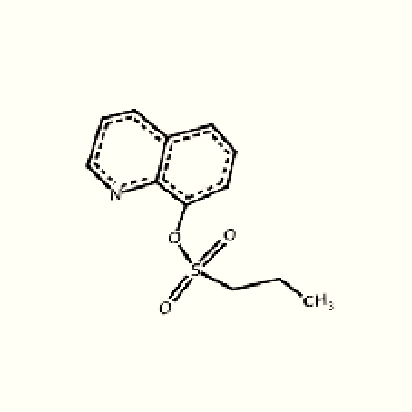 CCCS(=O)(=O)Oc1cccc2cccnc12